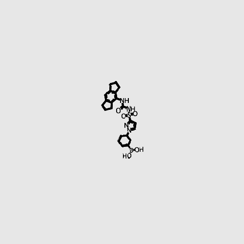 O=C(Nc1c2c(cc3c1CCC3)CCC2)NS(=O)(=O)c1ccn(C2CCC=C(B(O)O)C2)n1